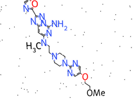 COCCOc1cnc(N2CCN(CCN(C)c3cc4nc(-c5ncco5)nn4c(N)n3)CC2)nc1